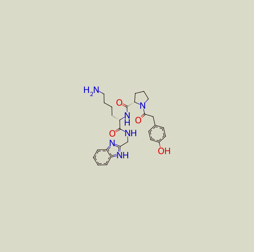 NCCCC[C@H](NC(=O)[C@@H]1CCCN1C(=O)Cc1ccc(O)cc1)C(=O)NCc1nc2ccccc2[nH]1